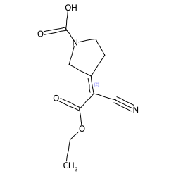 CCOC(=O)/C(C#N)=C1/CCN(C(=O)O)C1